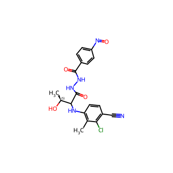 Cc1c(NC(C(=O)NNC(=O)c2ccc(N=O)cc2)[C@H](C)O)ccc(C#N)c1Cl